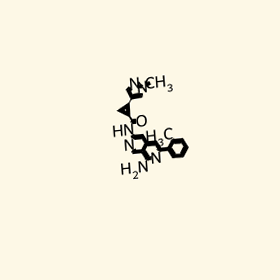 Cc1ccccc1-c1cc2cc(NC(=O)[C@H]3C[C@@H]3c3cnn(C)c3)ncc2c(N)n1